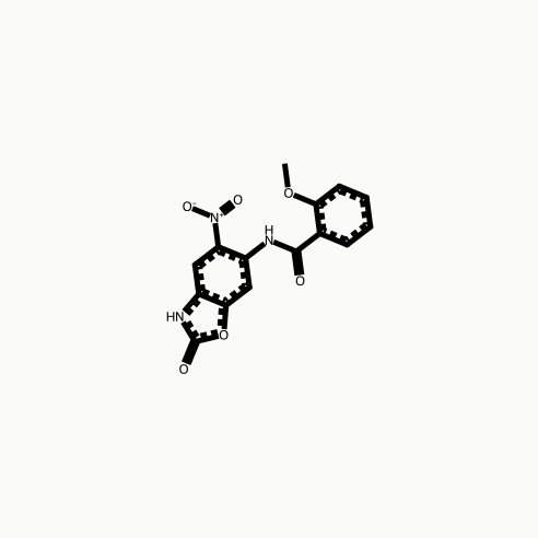 COc1ccccc1C(=O)Nc1cc2oc(=O)[nH]c2cc1[N+](=O)[O-]